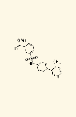 COC(=O)c1cccc(S(=O)(=O)Nc2ccc(-c3cnccc3C)cc2)c1